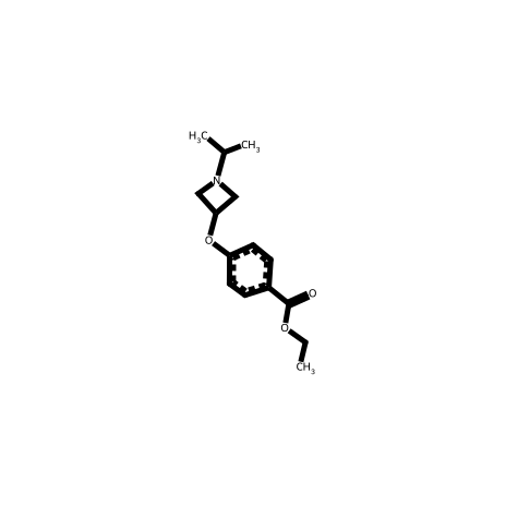 CCOC(=O)c1ccc(OC2CN(C(C)C)C2)cc1